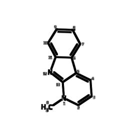 Cn1cccc2c3c[c]ccc3nc1-2